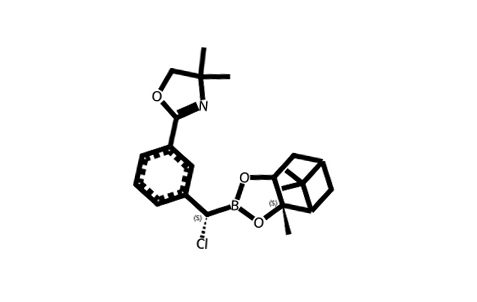 CC1(C)COC(c2cccc([C@@H](Cl)B3OC4CC5CC(C5(C)C)[C@]4(C)O3)c2)=N1